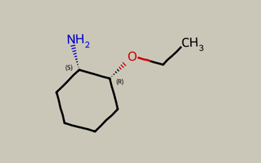 CCO[C@@H]1CCCC[C@@H]1N